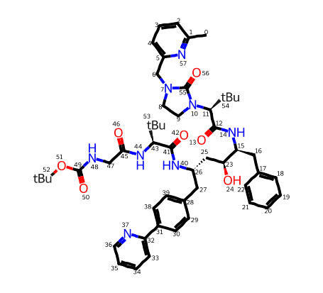 Cc1cccc(CN2CCN([C@H](C(=O)N[C@@H](Cc3ccccc3)[C@@H](O)C[C@H](Cc3ccc(-c4ccccn4)cc3)NC(=O)[C@@H](NC(=O)CNC(=O)OC(C)(C)C)C(C)(C)C)C(C)(C)C)C2=O)n1